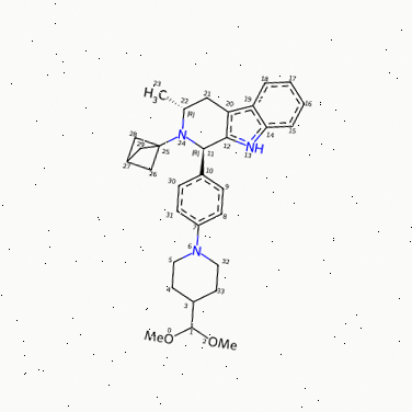 COC(OC)C1CCN(c2ccc([C@@H]3c4[nH]c5ccccc5c4C[C@@H](C)N3C34CC(C3)C4)cc2)CC1